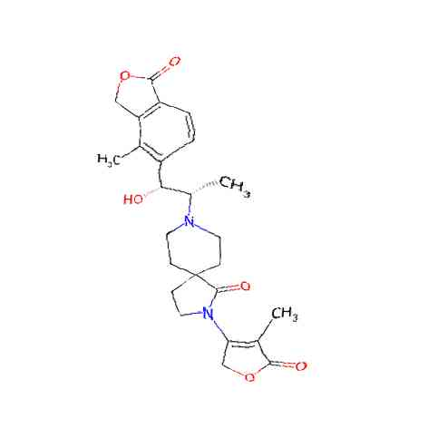 CC1=C(N2CCC3(CCN([C@@H](C)[C@H](O)c4ccc5c(c4C)COC5=O)CC3)C2=O)COC1=O